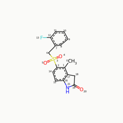 Cc1c(S(=O)(=O)Cc2ccccc2F)ccc2c1CC(=O)N2